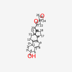 CC12CCC(O)CC1=CCC1C2CCC2(C)C1CC[C@@H]2CC1CC2(COC2)O1